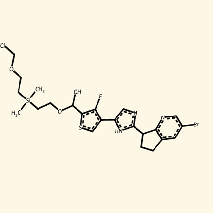 C[Si](C)(CCOCCl)CCOC(O)c1scc(-c2cnc(C3CCc4cc(Br)cnc43)[nH]2)c1F